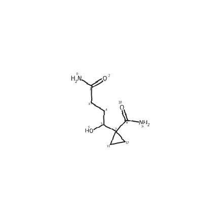 NC(=O)[CH]CC(O)C1(C(N)=O)CC1